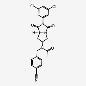 CC(=O)N(Cc1ccc(C#N)cc1)[C@H]1C[C@H]2C(=O)N(c3cc(Cl)cc(Cl)c3)C(=O)N2C1